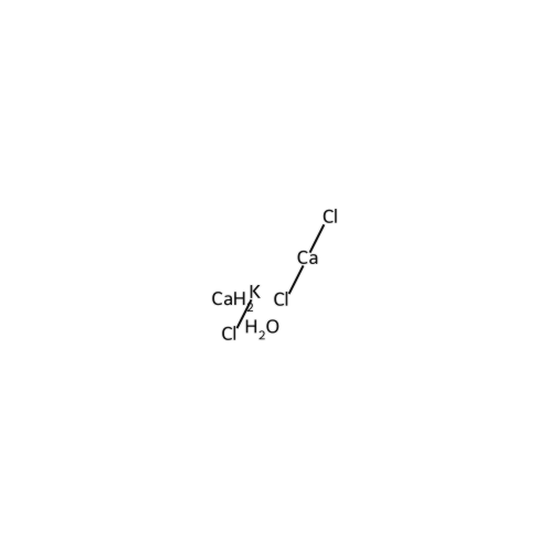 O.[CaH2].[Cl][Ca][Cl].[Cl][K]